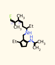 C=C(C)NC1=C(CNC(CC)C/C=C(C)\C(C)=C/F)C(CC)=CC1